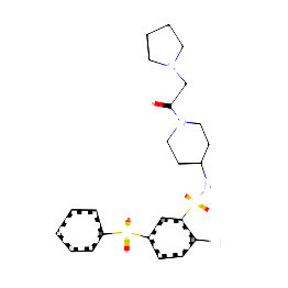 O=C(CN1CCCC1)N1CCC(NS(=O)(=O)c2cc(S(=O)(=O)c3ccccc3)ccc2C(F)(F)F)CC1